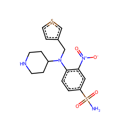 NS(=O)(=O)c1ccc(N(Cc2ccsc2)C2CCNCC2)c([N+](=O)[O-])c1